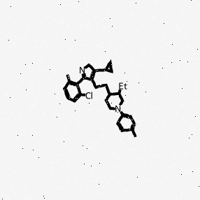 CCC1CN(c2ccc(C)cc2)CCC1CCC1=C(C2CC2)CN=C1c1c(C)cccc1Cl